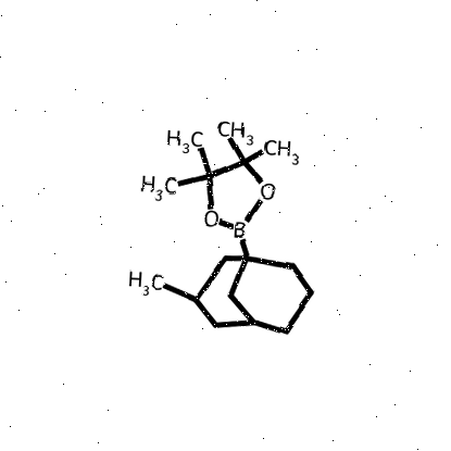 CC1CC2CCCC(B3OC(C)(C)C(C)(C)O3)(C1)C2